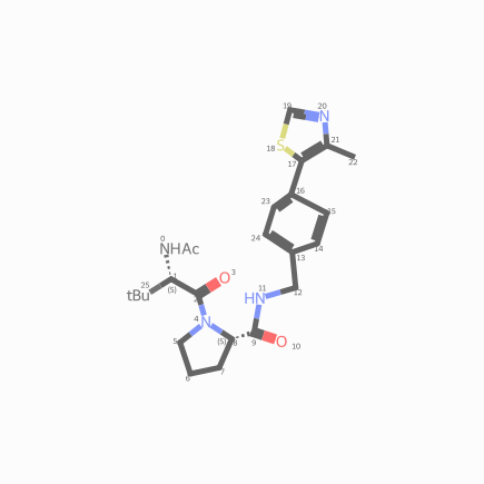 CC(=O)N[C@H](C(=O)N1CCC[C@H]1C(=O)NCc1ccc(-c2scnc2C)cc1)C(C)(C)C